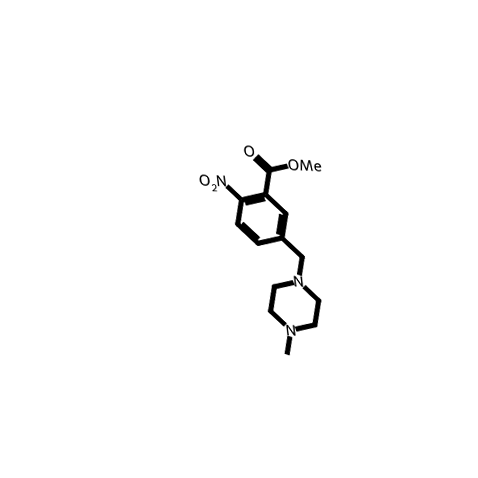 COC(=O)c1cc(CN2CCN(C)CC2)ccc1[N+](=O)[O-]